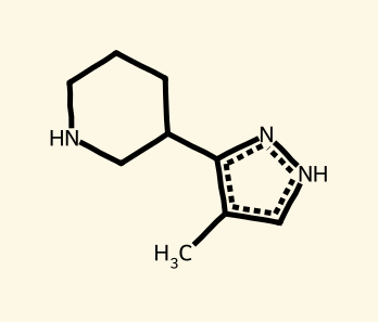 Cc1c[nH]nc1C1CCCNC1